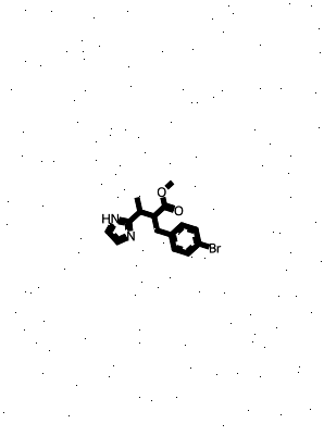 COC(=O)C(Cc1ccc(Br)cc1)C(C)c1ncc[nH]1